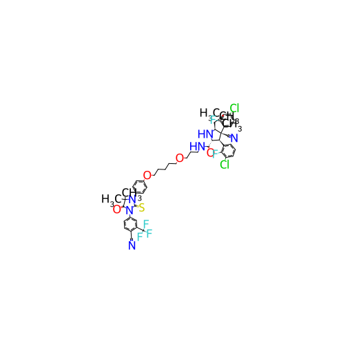 CC(C)(C)C[C@@H]1N[C@@H](C(=O)NCCCOCCCCCOc2ccc(N3C(=S)N(c4ccc(C#N)c(C(F)(F)F)c4)C(=O)C3(C)C)cc2)[C@H](c2cccc(Cl)c2F)[C@@]1(C#N)c1ccc(Cl)cc1F